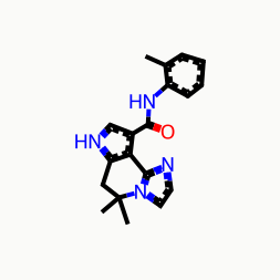 Cc1ccccc1NC(=O)c1c[nH]c2c1-c1nccn1C(C)(C)C2